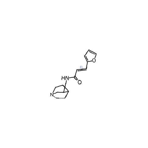 O=C(/C=C/c1ccco1)NC1CN2CCC1CC2